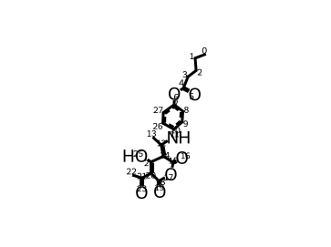 CCCCC(=O)Oc1ccc(N/C(C)=C2\C(=O)OC(=O)C(C(C)=O)=C2O)cc1